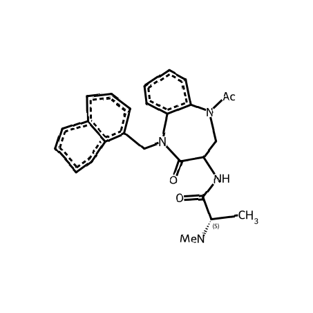 CN[C@@H](C)C(=O)NC1CN(C(C)=O)c2ccccc2N(Cc2cccc3ccccc23)C1=O